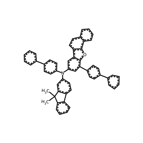 CC1(C)c2ccccc2-c2ccc(N(c3ccc(-c4ccccc4)cc3)c3cc(-c4ccc(-c5ccccc5)cc4)c4oc5c6ccccc6ccc5c4c3)cc21